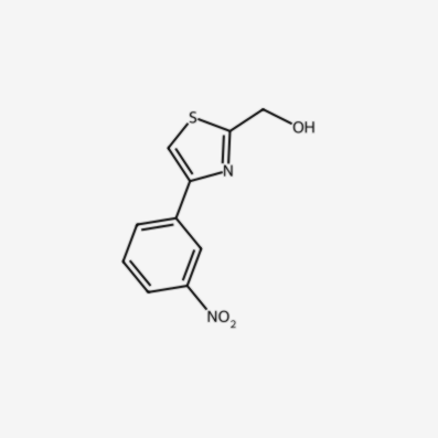 O=[N+]([O-])c1cccc(-c2csc(CO)n2)c1